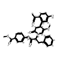 COC(=O)c1ccc(NC(=O)C(Cc2ccccc2)n2cc(OC)c(-c3cc(Cl)ccc3C(C)=O)cc2=O)cc1